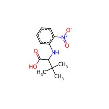 CC(C)(C)C(Nc1ccccc1[N+](=O)[O-])C(=O)O